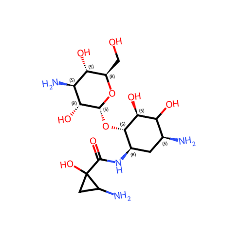 NC1CC1(O)C(=O)N[C@@H]1C[C@H](N)C(O)[C@H](O)[C@H]1O[C@H]1O[C@H](CO)[C@@H](O)[C@H](N)[C@H]1O